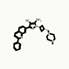 CN1CCN(C[C@H]2C[C@@H](n3nc(-c4ccc5ccc(-c6ccccc6)nc5c4)c(C#N)c3N)C2)CC1